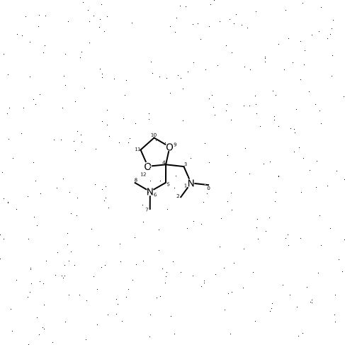 CN(C)CC1(CN(C)C)OCCO1